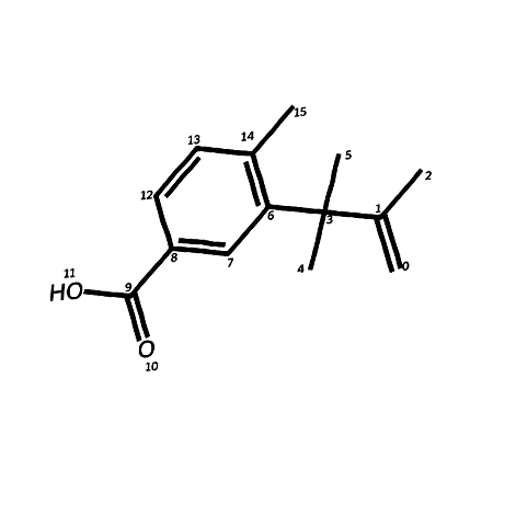 C=C(C)C(C)(C)c1cc(C(=O)O)ccc1C